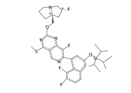 CSc1nc(OC[C@@]23CCCN2C[C@H](F)C3)nc2c(F)c(-c3cc(O[Si](C(C)C)(C(C)C)C(C)C)cc4ccc(F)c(F)c34)ncc12